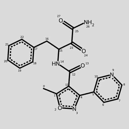 Cc1onc(-c2cccnc2)c1C(=O)NC(Cc1ccccc1)C(=O)C(N)=O